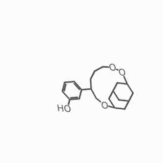 Oc1cccc(C2CCCOOC3CC4CC(CC(C4)OC2)C3)c1